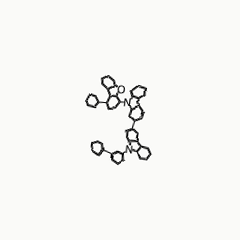 c1ccc(-c2cccc(-n3c4ccccc4c4cc(-c5ccc6c7ccccc7n(-c7ccc(-c8ccccc8)c8c7oc7ccccc78)c6c5)ccc43)c2)cc1